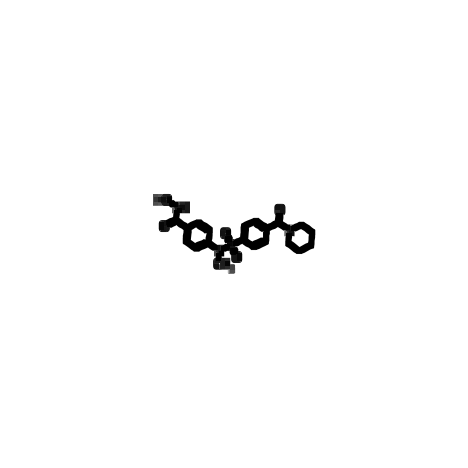 CN(c1ccc(C(=O)NO)cc1)S(=O)(=O)c1ccc(C(=O)N2CCCCC2)cc1